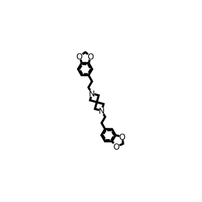 c1cc2c(cc1CCN1CC3(C1)CN(CCc1ccc4c(c1)OCO4)C3)OCO2